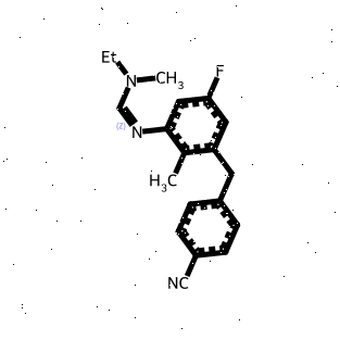 CCN(C)/C=N\c1cc(F)cc(Cc2ccc(C#N)cc2)c1C